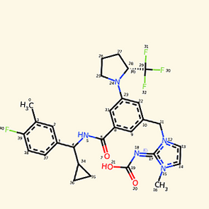 Cc1cc(C(NC(=O)c2cc(Cn3ccn(C)/c3=N\C(=O)O)cc(N3CCC[C@@H]3C(F)(F)F)c2)C2CC2)ccc1F